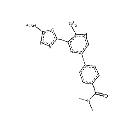 CC(=O)Nc1nnc(-c2nc(-c3ccc(C(=O)N(C)C)cc3)cnc2N)o1